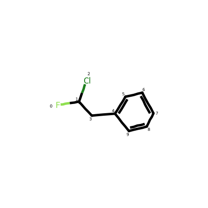 F[C](Cl)Cc1ccccc1